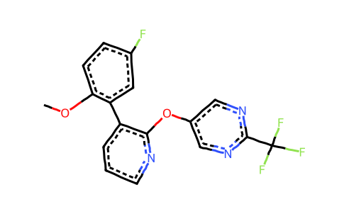 COc1ccc(F)cc1-c1cccnc1Oc1cnc(C(F)(F)F)nc1